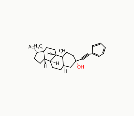 CC(=O)[C@H]1CC[C@H]2[C@@H]3CC[C@@H]4C[C@](O)(C#Cc5ccccc5)CC[C@]4(C)[C@H]3CC[C@]12C